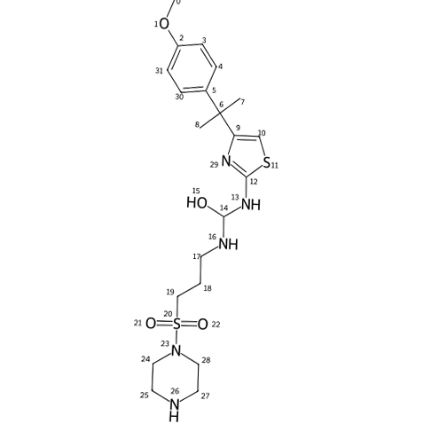 COc1ccc(C(C)(C)c2csc(NC(O)NCCCS(=O)(=O)N3CCNCC3)n2)cc1